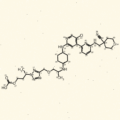 CC(COCc1nnn([C@H](C)CCOC(=O)O)n1)NC1CCC(Nc2cc(-c3cccc(NCC4(C#N)CCOCC4)n3)c(Cl)cn2)CC1